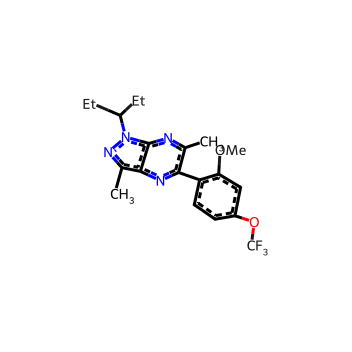 CCC(CC)n1nc(C)c2nc(-c3ccc(OC(F)(F)F)cc3OC)c(C)nc21